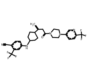 C=C(CC(=O)N1CCN(c2ccc(C(F)(F)F)nc2)CC1)C1CCC(Nc2ccc(C#N)c(C(F)(F)F)c2)CC1